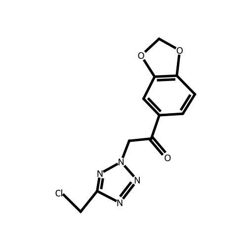 O=C(Cn1nnc(CCl)n1)c1ccc2c(c1)OCO2